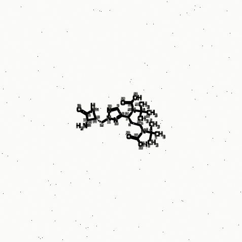 CC(C)(C)N(CC[C@@H](c1cnn(C[C@H]2NC(=O)[C@H]2N)n1)N(C(=O)O)C(C)(C)C)C(=O)O